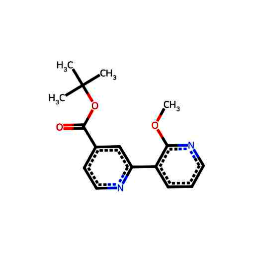 COc1ncccc1-c1cc(C(=O)OC(C)(C)C)ccn1